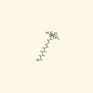 C[Si](C)(Cl)CCCCCCCCCCCCI